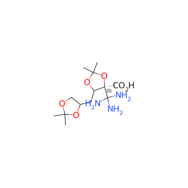 CC1(C)OCC(CC2OC(C)(C)O[C@@]2(C(=O)O)C(N)(N)N)O1